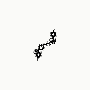 Cc1ccc(-c2nnc(SCCCN3CCC(c4noc5cc(F)ccc45)CC3)o2)cc1